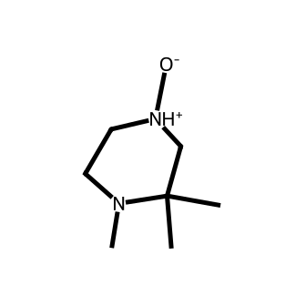 CN1CC[NH+]([O-])CC1(C)C